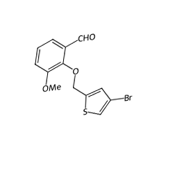 COc1cccc(C=O)c1OCc1cc(Br)cs1